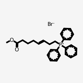 COC(=O)CCCC=CCC[P+](c1ccccc1)(c1ccccc1)c1ccccc1.[Br-]